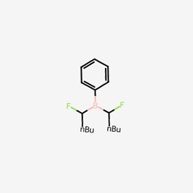 CCCCC(F)B(c1ccccc1)C(F)CCCC